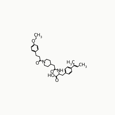 C/C=C(\C)c1ccc(CC(NC(=O)CC2CCN(C(=O)CCc3ccc(OCC)cc3)CC2)C(=O)O)cc1